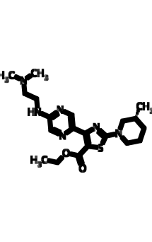 CCOC(=O)c1sc(N2CCC[C@@H](C)C2)nc1-c1cnc(NCCN(C)C)cn1